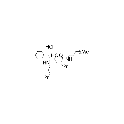 CSCCCNC(=O)C(CC(O)C(CC1CCCCC1)NCCCC(C)C)C(C)C.Cl